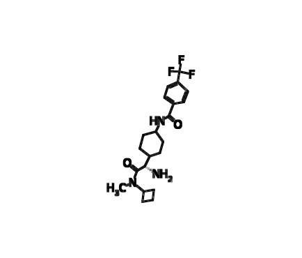 CN(C(=O)[C@@H](N)C1CCC(NC(=O)c2ccc(C(F)(F)F)cc2)CC1)C1CCC1